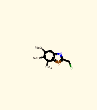 COc1cc2nc(CCl)sc2c(OC)c1OC